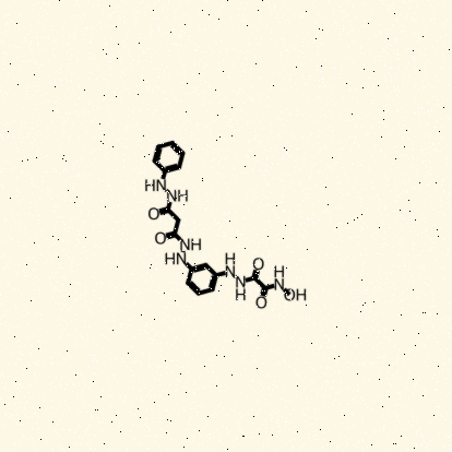 O=C(CC(=O)NNc1cccc(NNC(=O)C(=O)NO)c1)NNc1ccccc1